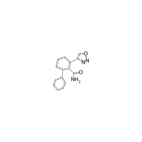 NC(=O)c1c(-c2ccccc2)cccc1-c1conn1